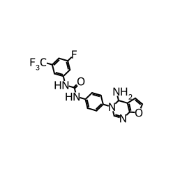 NC1c2ccoc2N=CN1c1ccc(NC(=O)Nc2cc(F)cc(C(F)(F)F)c2)cc1